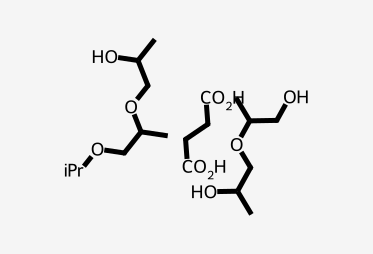 CC(O)COC(C)CO.CC(O)COC(C)COC(C)C.O=C(O)CCC(=O)O